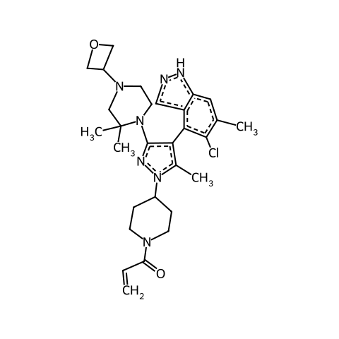 C=CC(=O)N1CCC(n2nc(N3CCN(C4COC4)CC3(C)C)c(-c3c(Cl)c(C)cc4[nH]ncc34)c2C)CC1